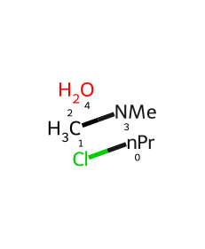 CCCCl.CNC.O